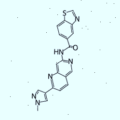 Cn1cc(-c2ccc3cnc(NC(=O)c4ccc5scnc5c4)cc3n2)cn1